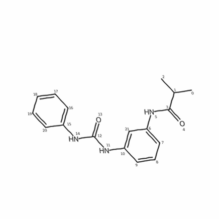 CC(C)C(=O)Nc1cccc(NC(=O)Nc2ccccc2)c1